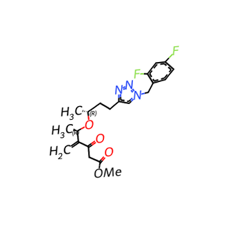 C=C(C(=O)CC(=O)OC)[C@@H](C)O[C@H](C)CCc1cn(Cc2ccc(F)cc2F)nn1